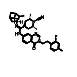 Cc1ccc(CCn2cnc3cc(N/C(=N/[C@H]4CC5CC(C4C)C5(C)C)N4C[C@@H](C)N(C#N)[C@@H](C)C4)ccc3c2=O)c(F)c1